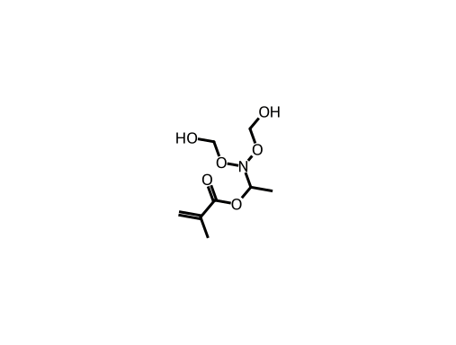 C=C(C)C(=O)OC(C)N(OCO)OCO